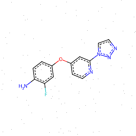 Nc1ccc(Oc2ccnc(-n3ccnn3)c2)cc1F